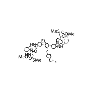 CCc1cc(-c2ccc3[nH]c(C4CC5CCCCC5N4C(=O)C(CCSC)NC(=O)OC)nc3c2)c(CCc2ccc(C)cc2)cc1-c1ccc2[nH]c(C3CC4CCCCC4N3C(=O)C(CCSC)NC(=O)OC)nc2c1